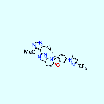 COc1ncnc(C2CC2)c1-c1ncc2ccc(=O)n([C@H](C)c3ccc(-n4nc(C(F)(F)F)cc4C)cc3)c2n1